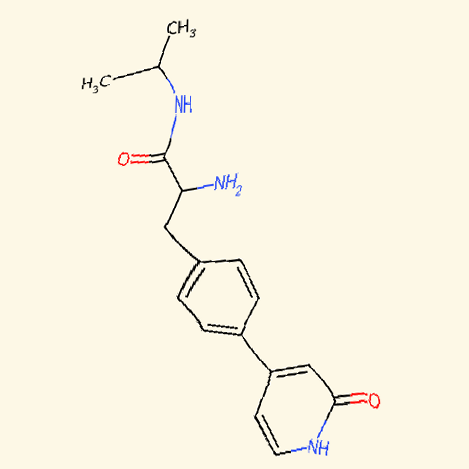 CC(C)NC(=O)C(N)Cc1ccc(-c2cc[nH]c(=O)c2)cc1